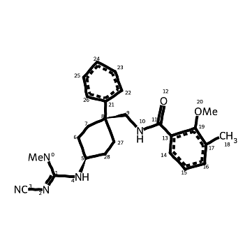 CN/C(=N\C#N)N[C@H]1CC[C@](CNC(=O)c2cccc(C)c2OC)(c2ccccc2)CC1